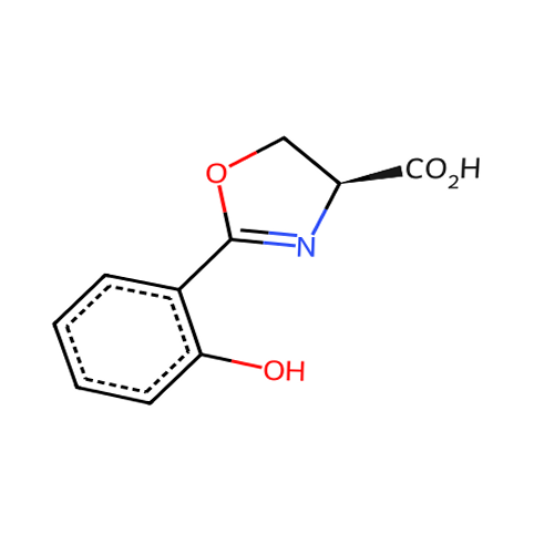 O=C(O)[C@@H]1COC(c2ccccc2O)=N1